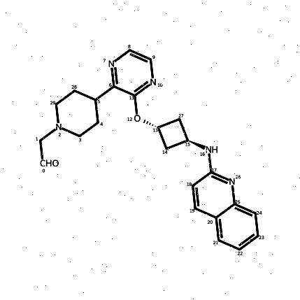 O=CCN1CCC(c2nccnc2O[C@H]2C[C@H](Nc3ccc4ccccc4n3)C2)CC1